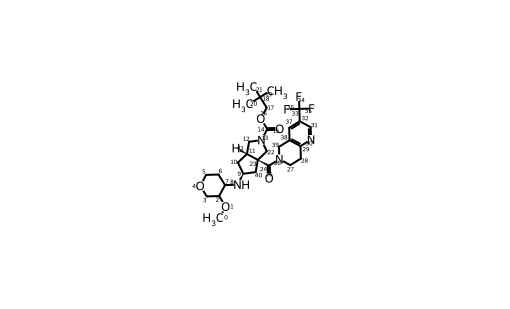 COC1COCCC1N[C@H]1C[C@@H]2CN(C(=O)OCC(C)(C)C)C[C@]2(C(=O)N2CCc3ncc(C(F)(F)F)cc3C2)C1